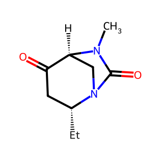 CC[C@@H]1CC(=O)[C@@H]2CN1C(=O)N2C